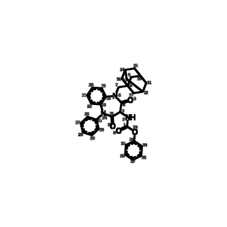 O=C(NC1C(=O)N(CC23CC4CC(CC(C4)C2)C3)c2ccccc2N(c2ccccc2)C1=O)Oc1ccccc1